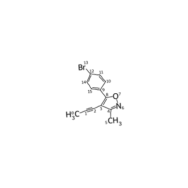 CC#Cc1c(C)noc1-c1ccc(Br)cc1